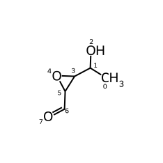 CC(O)C1OC1C=O